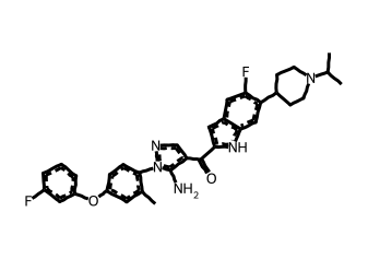 Cc1cc(Oc2cccc(F)c2)ccc1-n1ncc(C(=O)c2cc3cc(F)c(C4CCN(C(C)C)CC4)cc3[nH]2)c1N